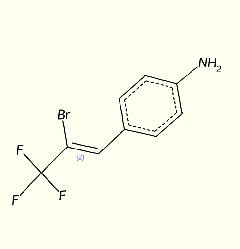 Nc1ccc(/C=C(\Br)C(F)(F)F)cc1